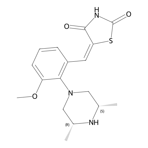 COc1cccc(C=C2SC(=O)NC2=O)c1N1C[C@@H](C)N[C@@H](C)C1